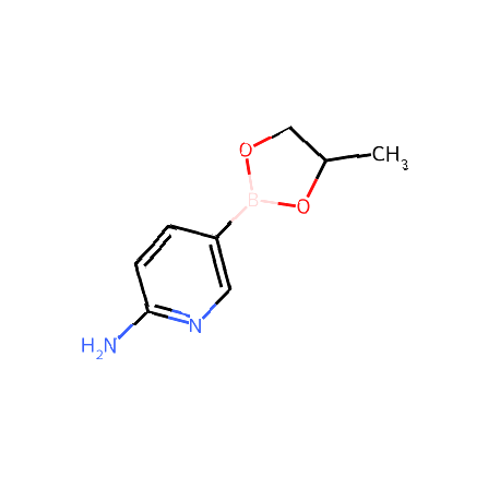 CC1COB(c2ccc(N)nc2)O1